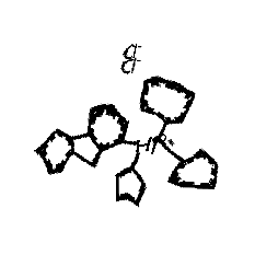 C1=CC[C]([Hf+2](=[C](c2ccccc2)c2ccccc2)[c]2cccc3c2Cc2ccccc2-3)=C1.[Cl-].[Cl-]